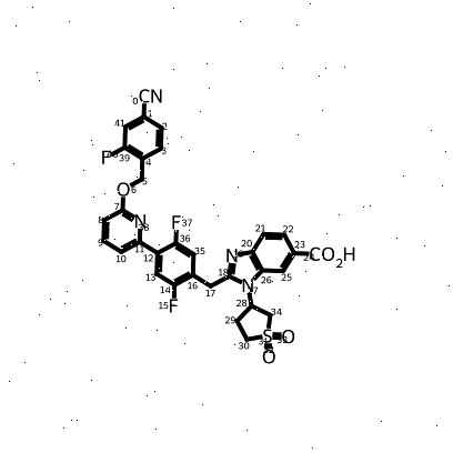 N#Cc1ccc(COc2cccc(-c3cc(F)c(Cc4nc5ccc(C(=O)O)cc5n4C4CCS(=O)(=O)C4)cc3F)n2)c(F)c1